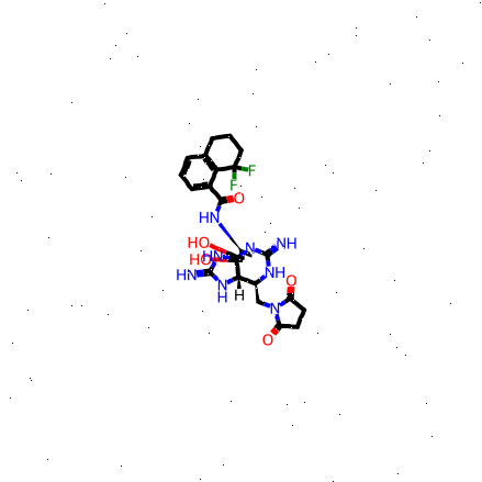 N=C1N[C@H]2[C@H](CN3C(=O)CCC3=O)NC(=N)N3C[C@H](NC(=O)c4cccc5c4C(F)(F)CCC5)C(O)(O)C23N1